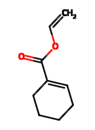 C=COC(=O)C1=CCCCC1